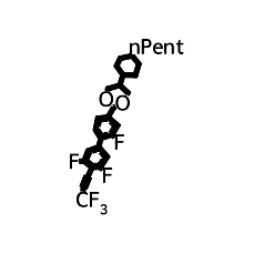 CCCCCC1CCC(C2COC(c3ccc(-c4cc(F)c(C#CC(F)(F)F)c(F)c4)c(F)c3)OC2)CC1